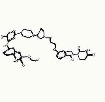 CC(=O)COc1cc2cc(Nc3nc(N4CCN(C5CCN(CCCOc6ccc7c(c6)CN(C6CCC(=O)NC6=O)C7=O)C5)CC4)ncc3Cl)ccc2n(C)c1=O